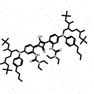 CCCCc1ccc(N(CC(CCC(C)CC(C)(C)C)C(C)CC(C)(C)C)c2ccc(C3=C(O)/C(=C4\C=CC(N(CC(CCC(C)CC(C)(C)C)C(C)CC(C)(C)C)c5ccc(CCCC)cc5)C=C4NC(=O)N(CC)CC)C3=O)c(NC(=O)N(CC)CC)c2)cc1